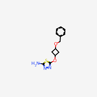 Nc1nnc(OC2CC(OCc3ccccc3)C2)s1